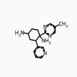 Cc1cnc(C2(N)CCC(N)CC2c2cccnc2)nc1